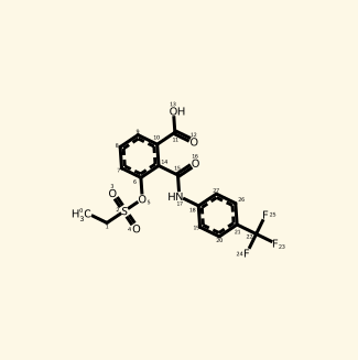 CCS(=O)(=O)Oc1cccc(C(=O)O)c1C(=O)Nc1ccc(C(F)(F)F)cc1